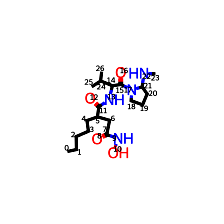 CCCCCC(CC(=O)NO)C(=O)NC(C(=O)N1CCCC1NC)C(C)C